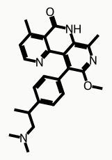 COc1nc(C)c2[nH]c(=O)c3c(C)ccnc3c2c1-c1ccc(C(C)CN(C)C)cc1